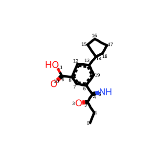 CCC(=O)C(=N)c1cc(C(=O)O)cc(C2CCCC2)c1